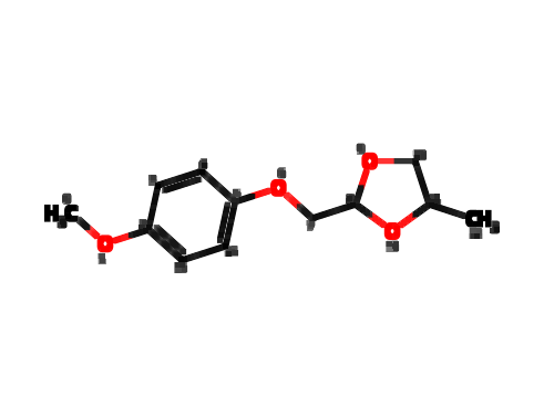 COc1ccc(OCC2OCC(C)O2)cc1